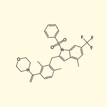 C=C(c1ccc(C)c(Cc2cc3c(C)cc(C(F)(F)F)cc3n2S(=O)(=O)c2ccccc2)c1C)N1CCOCC1